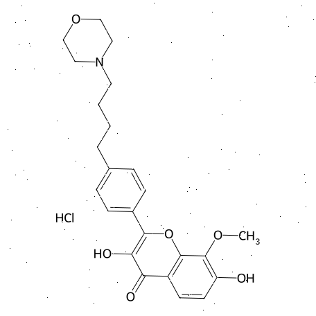 COc1c(O)ccc2c(=O)c(O)c(-c3ccc(CCCCN4CCOCC4)cc3)oc12.Cl